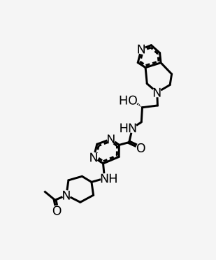 CC(=O)N1CCC(Nc2cc(C(=O)NC[C@H](O)CN3CCc4ccncc4C3)ncn2)CC1